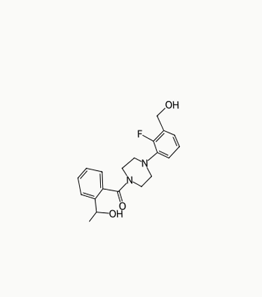 CC(O)c1ccccc1C(=O)N1CCN(c2cccc(CO)c2F)CC1